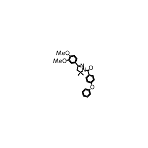 COc1ccc(C2=NN(C(=O)c3ccc(Oc4ccccc4)cc3)C(C)(C)C2)cc1OC